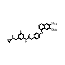 COc1cc2nccc(Oc3ccc(CC(=O)Nc4cc(C)cc(CNC5CC5)c4)cc3)c2cc1OC